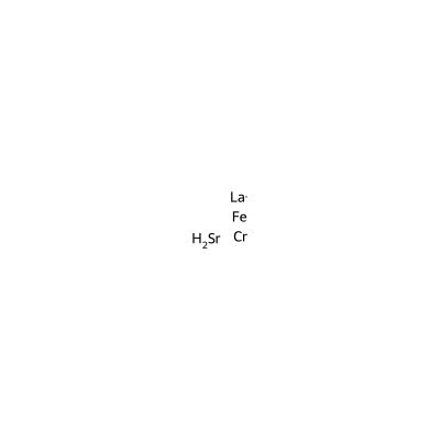 [Cr].[Fe].[La].[SrH2]